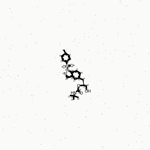 Cc1ccc(S(=O)(=O)n2ncc3cc(C[C@@H](CO)OC(=O)NC(C)(C)C)ccc32)cc1